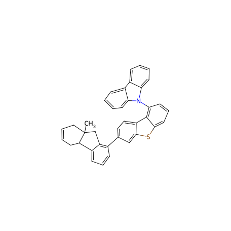 CC12CC=CCC1c1cccc(-c3ccc4c(c3)sc3cccc(-n5c6ccccc6c6ccccc65)c34)c1C2